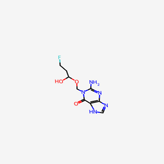 Nc1nc2nc[nH]c2c(=O)n1COC(O)CCF